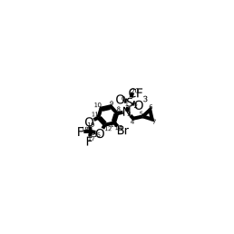 O=S(=O)(N(CC1CC1)c1ccc2c(c1Br)OC(F)(F)O2)C(F)(F)F